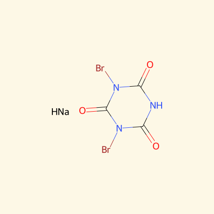 O=c1[nH]c(=O)n(Br)c(=O)n1Br.[NaH]